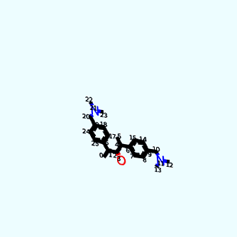 CC(C(=O)C(C)c1ccc(CN(C)C)cc1)c1ccc(CN(C)C)cc1